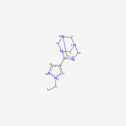 CCn1cc(C2N3CN4CN(C3)CN2C4)cn1